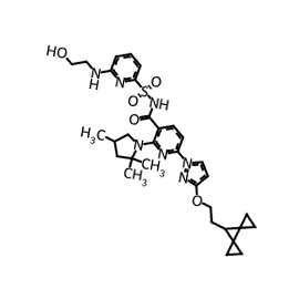 CC1CN(c2nc(-n3ccc(OCCC4C5(CC5)C45CC5)n3)ccc2C(=O)NS(=O)(=O)c2cccc(NCCO)n2)C(C)(C)C1